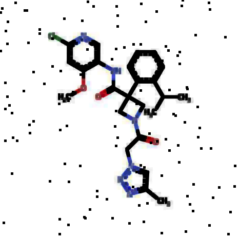 COc1cc(Cl)ncc1NC(=O)C1(c2ccccc2C(C)C)CN(C(=O)Cn2cc(C)nn2)C1